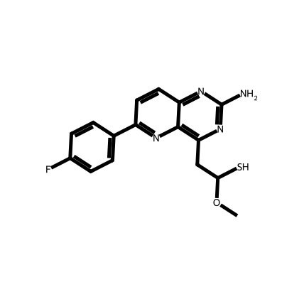 COC(S)Cc1nc(N)nc2ccc(-c3ccc(F)cc3)nc12